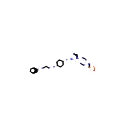 Nc1cc(N2CCN(CCP(=O)(O)O)CC2)nc(NC[C@H]2CC[C@H](CNCCCN[C@H]3C[C@@H]4CC[C@H]3C4)CC2)n1